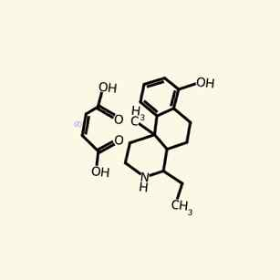 CCC1NCCC2(C)c3cccc(O)c3CCC12.O=C(O)/C=C\C(=O)O